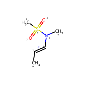 C/C=C/N(C)S(C)(=O)=O